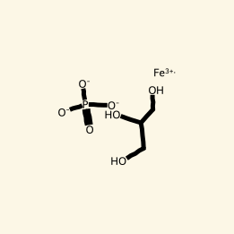 O=P([O-])([O-])[O-].OCC(O)CO.[Fe+3]